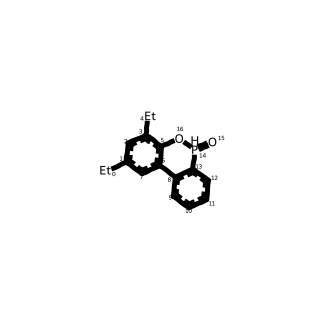 CCc1cc(CC)c2c(c1)-c1ccccc1[PH](=O)O2